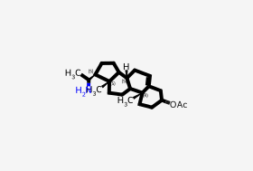 CC(=O)OC1CC[C@@]2(C)C(=CC[C@@H]3C2CC[C@@]2(C)C3CC[C@@H]2C(C)N)C1